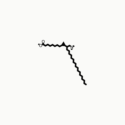 CCCCCCCCCCCCCCCCCCC(CN(C)C)C1CC1CCCCCCCC(=O)OC